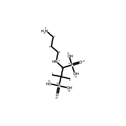 CC(C)(C(NCCCN)P(=O)(O)O)P(=O)(O)O